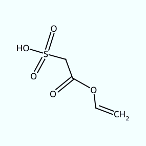 C=COC(=O)CS(=O)(=O)O